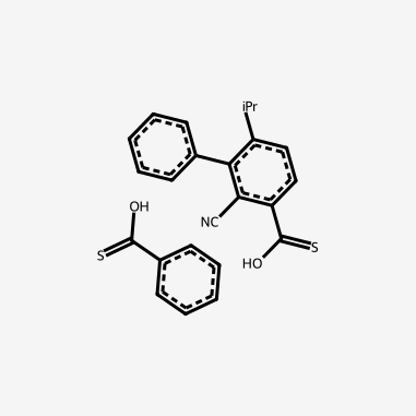 CC(C)c1ccc(C(O)=S)c(C#N)c1-c1ccccc1.OC(=S)c1ccccc1